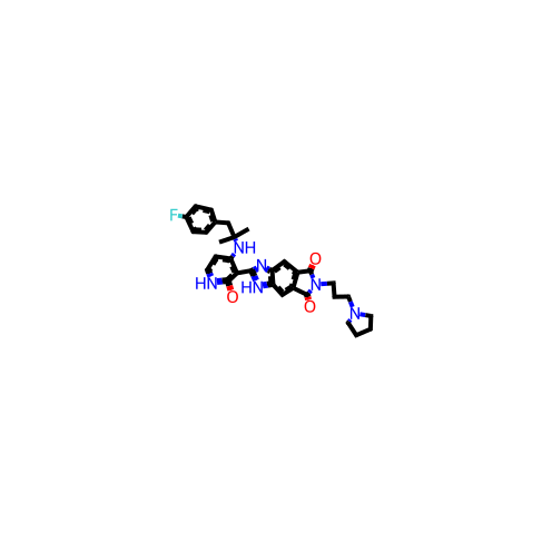 CC(C)(Cc1ccc(F)cc1)Nc1cc[nH]c(=O)c1-c1nc2cc3c(cc2[nH]1)C(=O)N(CCCN1CCCC1)C3=O